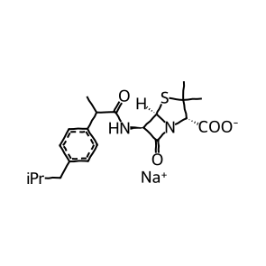 CC(C)Cc1ccc(C(C)C(=O)N[C@@H]2C(=O)N3[C@@H]2SC(C)(C)[C@@H]3C(=O)[O-])cc1.[Na+]